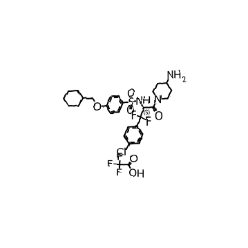 NC1CCN(C(=O)[C@H](NS(=O)(=O)c2ccc(OCC3CCCCC3)cc2)C(F)(F)c2ccc(Cl)cc2)CC1.O=C(O)C(F)(F)F